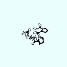 CCC(C)C(=O)NNC(=O)C1CCCN1C(=O)C1CCCN1C(CC)CC